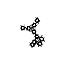 c1ccc(-c2ccc(N(c3ccc(-c4ccccc4)cc3)c3ccc(-c4ccc5c(c4)-c4cc6ccccc6cc4[Si]5(c4ccccc4)c4ccccc4)cc3)cc2)cc1